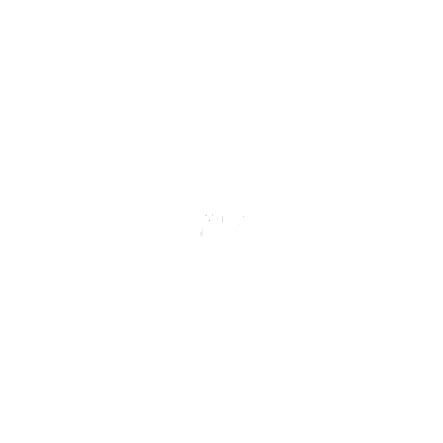 [InH3].[Mg+2].[O-2].[Zn]